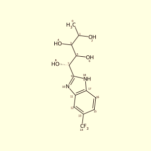 CC(O)C(O)C(O)[C@@H](O)c1nc2cc(C(F)(F)F)ccc2[nH]1